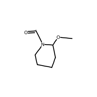 COC1CCCCN1[C]=O